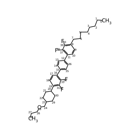 CCCCCCCCc1ccc(-c2ccc(-c3ccc(C4CCC(COCCC)CC4)c(F)c3F)cc2)c(F)c1F